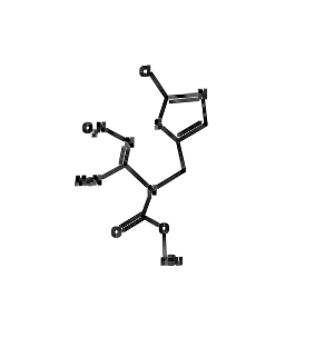 CCCCOC(=O)N(Cc1cnc(Cl)s1)C(=N[N+](=O)[O-])NC